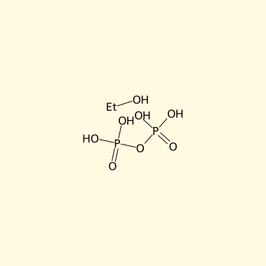 CCO.O=P(O)(O)OP(=O)(O)O